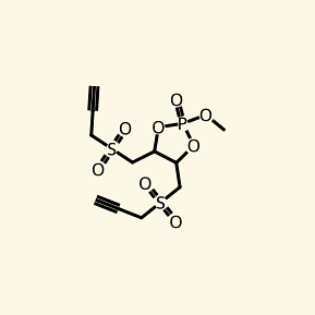 C#CCS(=O)(=O)CC1OP(=O)(OC)OC1CS(=O)(=O)CC#C